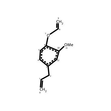 C=CCc1ccc(OC=C)c(OC)c1